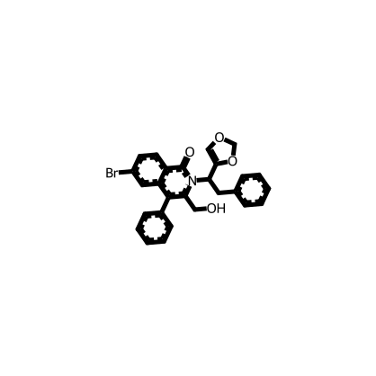 O=c1c2ccc(Br)cc2c(-c2ccccc2)c(CO)n1C(Cc1ccccc1)C1=COCO1